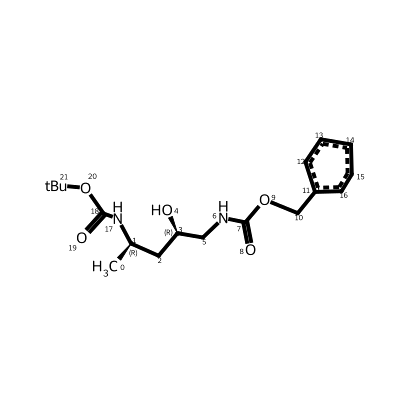 C[C@H](C[C@@H](O)CNC(=O)OCc1ccccc1)NC(=O)OC(C)(C)C